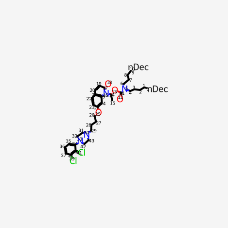 CCCCCCCCCCCCCCN(CCCCCCCCCCCCCC)C(=O)OC(C)n1c(=O)ccc2ccc(OCCCCN3CCN(c4cccc(Cl)c4Cl)CC3)cc21